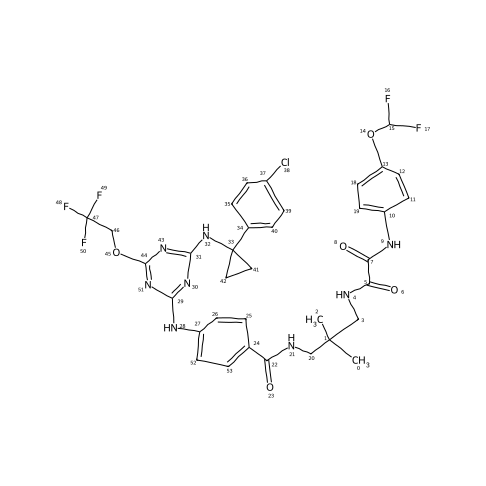 CC(C)(CNC(=O)C(=O)Nc1ccc(OC(F)F)cc1)CNC(=O)c1ccc(Nc2nc(NC3(c4ccc(Cl)cc4)CC3)nc(OCC(F)(F)F)n2)cc1